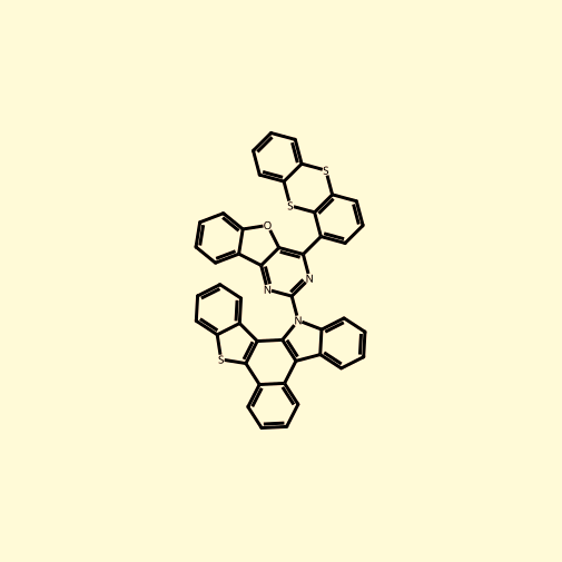 c1ccc2c(c1)Sc1cccc(-c3nc(-n4c5ccccc5c5c6ccccc6c6sc7ccccc7c6c54)nc4c3oc3ccccc34)c1S2